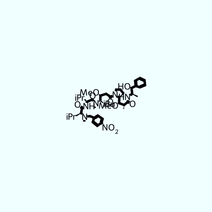 CC[C@H](C)[C@@H]([C@H](CC(=O)N1CCC[C@H]1[C@H](OC)[C@@H](C)C(=O)N[C@H](C)[C@H](O)c1ccccc1)OC)N(C)C(=O)[C@@H](NC(=O)[C@H](C(C)C)N(C)Cc1ccc([N+](=O)[O-])cc1)C(C)C